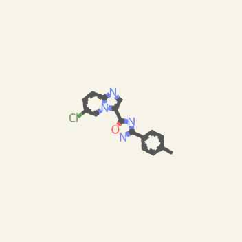 Cc1ccc(-c2noc(-c3cnc4ccc(Cl)cn34)n2)cc1